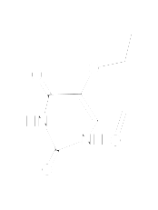 C=O.CCOc1c[nH]c(=O)[nH]c1=O